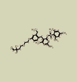 CCc1cc(OCCOCCC(F)(F)C=O)ccc1Cc1c(C)nc(N)nc1OS(=O)(=O)c1c(C)cc(C)cc1C